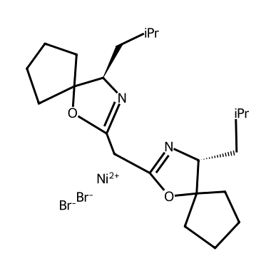 CC(C)C[C@H]1N=C(CC2=N[C@H](CC(C)C)C3(CCCC3)O2)OC12CCCC2.[Br-].[Br-].[Ni+2]